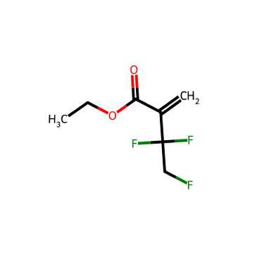 C=C(C(=O)OCC)C(F)(F)CF